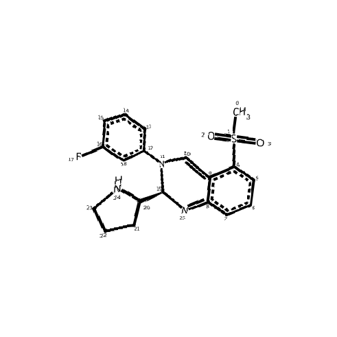 CS(=O)(=O)c1cccc2c1=CN(c1cccc(F)c1)[C@H](C1CCCN1)N=2